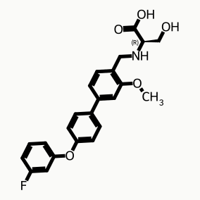 COc1cc(-c2ccc(Oc3cccc(F)c3)cc2)ccc1CN[C@H](CO)C(=O)O